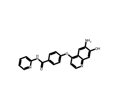 Nc1cc2c(Oc3ccc(C(=O)Nc4ccccn4)cc3)ccnc2cc1O